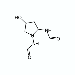 O=CNC1CC(O)CN1NC=O